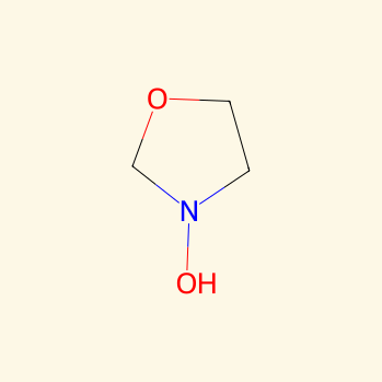 ON1CCOC1